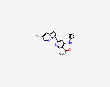 CNC(=O)c1cnc(-c2ccc3cc(C#N)cnn23)cc1NC12CC(C1)C2